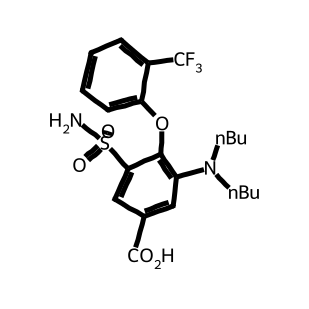 CCCCN(CCCC)c1cc(C(=O)O)cc(S(N)(=O)=O)c1Oc1ccccc1C(F)(F)F